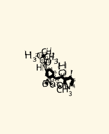 COc1nccc(I)c1C(O)Cc1ccc(NC(=O)OC(C)(C)C)cc1[N+](=O)[O-]